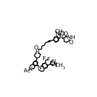 CC(=O)N1Cc2cc(C3CCN(C(=O)CCCCC#Cc4ccc5c(c4)n(C)c(=O)n5C4CCC(=O)NC4=O)CC3)cc(N3CCCc4cc(-c5cnn(C)c5)c(C(F)F)cc43)c2C1